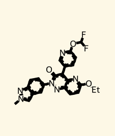 CCOc1ccc2nn(-c3ccc4nn(C)cc4c3)c(=O)c(-c3ccc(OC(F)F)nc3)c2n1